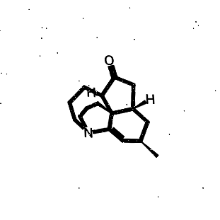 C[C@H]1C=C2N3CCC[C@@H]4C(=O)C[C@H](C1)[C@]24CCC3